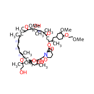 COCCO[C@@H]1CCC(C[C@@H](C)C2CC(=O)[C@H](C)/C=C(\C)[C@@H](O)[C@@H](OC)C(=O)[C@H](C)C[C@H](C)/C=C/C=C/C=C(\C)[C@@H](OC(C)(C)CCO)C[C@@H]3CC[C@@H](C)[C@@](O)(O3)C(=O)C(=O)N3CCCC[C@H]3C(=O)O2)C[C@H]1OC